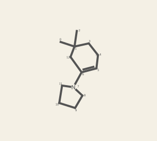 CC1(C)C[C]C=C(N2CCCC2)C1